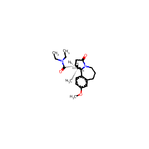 CCN(CC)C(=O)[C@@H]1[C@@H](C)C[C@@]23c4ccc(OC)cc4CCCN2C(=O)C[C@@H]13